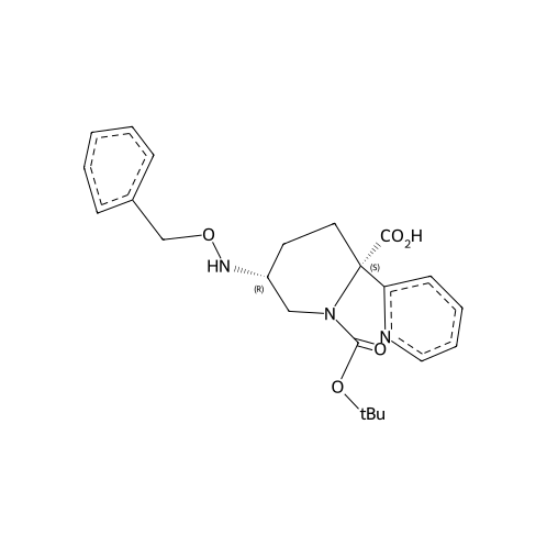 CC(C)(C)OC(=O)N1C[C@H](NOCc2ccccc2)CC[C@@]1(C(=O)O)c1ccccn1